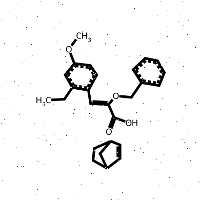 C1=CC2CCC1C2.CCc1cc(OC)ccc1C=C(OCc1ccccc1)C(=O)O